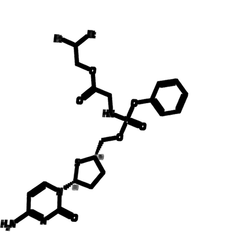 CCC(CC)COC(=O)CNP(=O)(OC[C@@H]1CC[C@H](n2ccc(N)nc2=O)S1)Oc1ccccc1